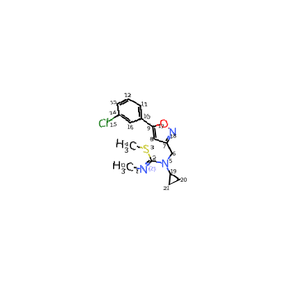 C/N=C(\SC)N(Cc1cc(-c2cccc(Cl)c2)on1)C1CC1